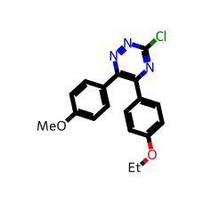 CCOc1ccc(-c2nc(Cl)nnc2-c2ccc(OC)cc2)cc1